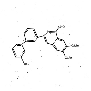 COc1cc2cc(-c3cccc(-c4cccc(C(C)(C)C)c4)c3)nc(C=O)c2cc1OC